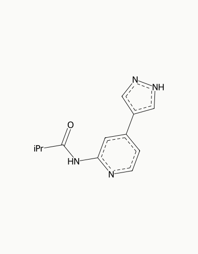 CC(C)C(=O)Nc1cc(-c2cn[nH]c2)ccn1